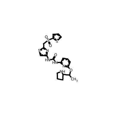 CC(Oc1cccc(NC(=O)Nc2csc(CS(=O)(=O)c3cccs3)n2)n1)C1CCCN1